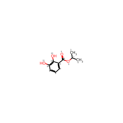 CC(C)OC(=O)c1cccc(O)c1O